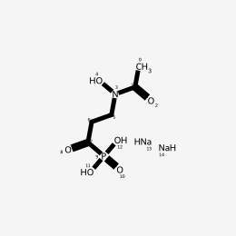 CC(=O)N(O)CCC(=O)P(=O)(O)O.[NaH].[NaH]